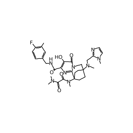 Cc1cc(CNC(=O)c2nc3n(c(=O)c2O)CC2(N(C)Cc4nccn4C)CCC3(N(C)C(=O)C(=O)N(C)C)CC2)ccc1F